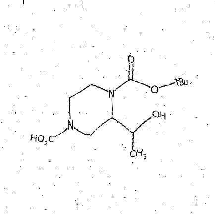 CC(O)C1CN(C(=O)O)CCN1C(=O)OC(C)(C)C